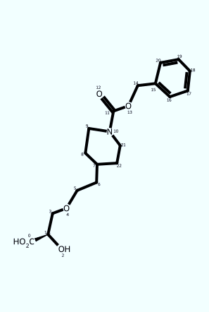 O=C(O)[C@H](O)COCCC1CCN(C(=O)OCc2ccccc2)CC1